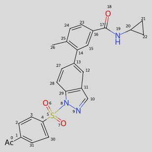 CC(=O)c1ccc(S(=O)(=O)n2ncc3cc(-c4cc(C(=O)NC5CC5)ccc4C)ccc32)cc1